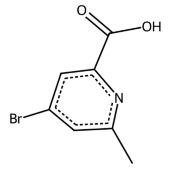 Cc1cc(Br)cc(C(=O)O)n1